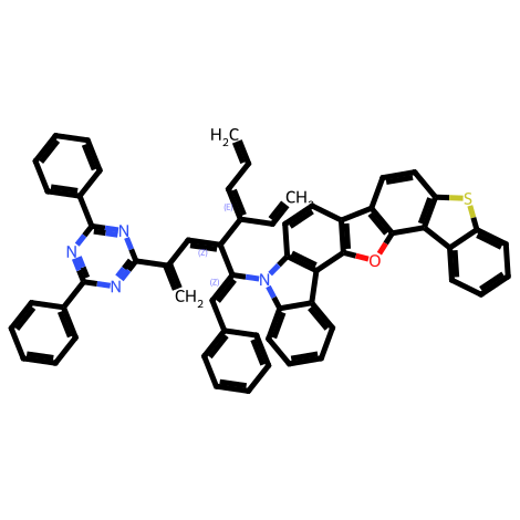 C=C/C=C(C=C)/C(=C/C(=C)c1nc(-c2ccccc2)nc(-c2ccccc2)n1)C(=C/c1ccccc1)/n1c2ccccc2c2c3oc4c(ccc5sc6ccccc6c54)c3ccc21